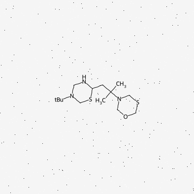 CC(C)(C)N1CNC(CC(C)(C)N2COCSC2)SC1